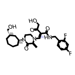 C=C1C(=O)N([C@H]2CCCC[C@H](CO)C2)CCN1/C=C(\C(=O)CO)C(=O)NCc1ccc(F)cc1F